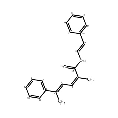 CC(=CC=C(C)c1ccccc1)C(=O)OC=Cc1ccccc1